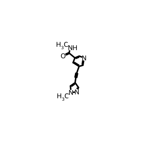 CNC(=O)c1cncc(C#Cc2cnn(C)c2)c1